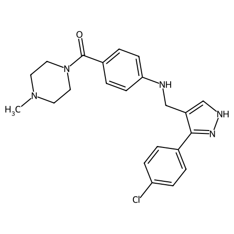 CN1CCN(C(=O)c2ccc(NCc3c[nH]nc3-c3ccc(Cl)cc3)cc2)CC1